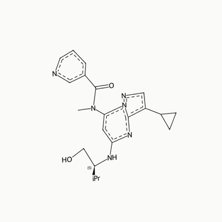 CC(C)[C@@H](CO)Nc1cc(N(C)C(=O)c2cccnc2)n2ncc(C3CC3)c2n1